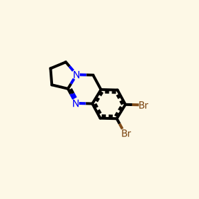 Brc1cc2c(cc1Br)N=C1CCCN1C2